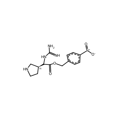 N=C(N)NC(C(=O)OCc1ccc([N+](=O)[O-])cc1)[C@H]1CCNC1